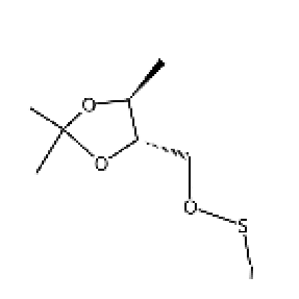 C[C@@H]1OC(C)(C)O[C@H]1COSI